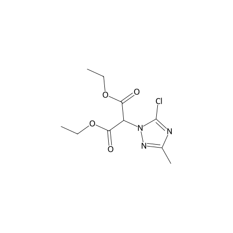 CCOC(=O)C(C(=O)OCC)n1nc(C)nc1Cl